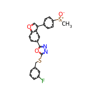 C[S+]([O-])c1ccc(-c2coc3ccc(-c4nnc(SCc5cccc(F)c5)o4)cc23)cc1